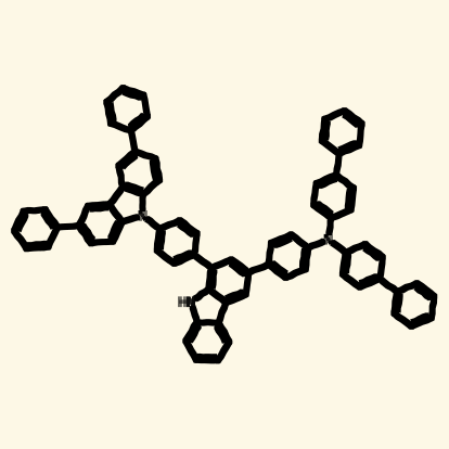 c1ccc(-c2ccc(N(c3ccc(-c4ccccc4)cc3)c3ccc(-c4cc(-c5ccc(-n6c7ccc(-c8ccccc8)cc7c7cc(-c8ccccc8)ccc76)cc5)c5[nH]c6ccccc6c5c4)cc3)cc2)cc1